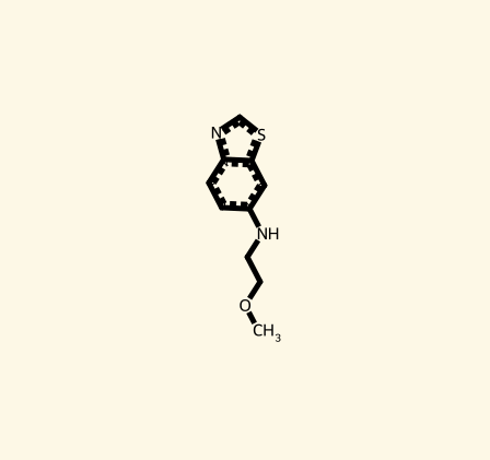 COCCNc1ccc2ncsc2c1